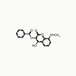 COc1cccc2c(O)c(OC(=O)c3ccccc3)c(=O)oc12